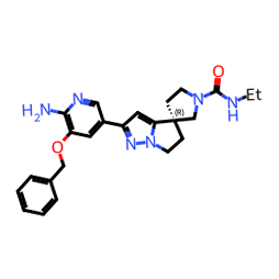 CCNC(=O)N1CC[C@@]2(CCn3nc(-c4cnc(N)c(OCc5ccccc5)c4)cc32)C1